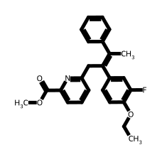 CCOc1ccc(/C(Cc2cccc(C(=O)OC)n2)=C(\C)c2ccccc2)cc1F